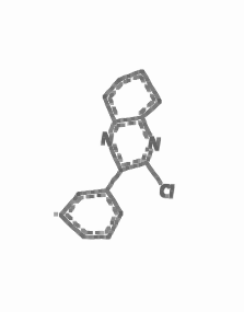 Clc1nc2ccccc2nc1-c1c[c]ccc1